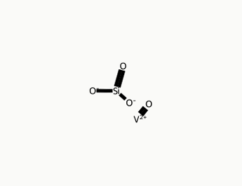 O=[Si]([O-])[O-].[O]=[V+2]